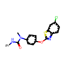 CC(C)NC(=O)N(C)c1ccc(Oc2nc3ccc(Cl)cc3s2)cc1